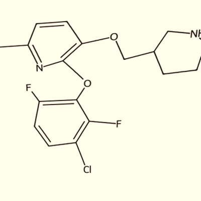 Cc1ccc(OCC2CCCNC2)c(Oc2c(F)ccc(Cl)c2F)n1